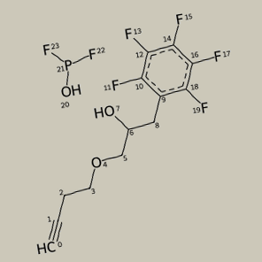 C#CCCOCC(O)Cc1c(F)c(F)c(F)c(F)c1F.OP(F)F